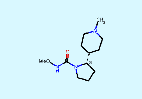 CONC(=O)N1CCC[C@H]1C1CCN(C)CC1